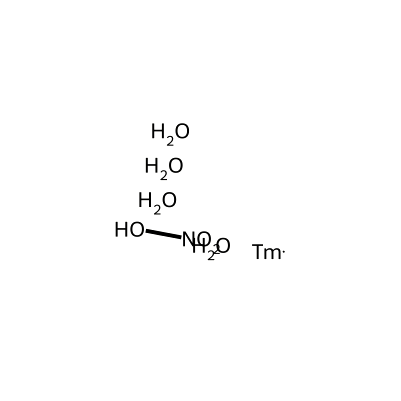 O.O.O.O.O=[N+]([O-])O.[Tm]